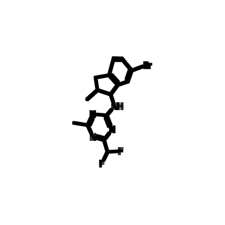 Cc1nc(NC2c3cc(Br)ccc3CC2C)nc(C(F)F)n1